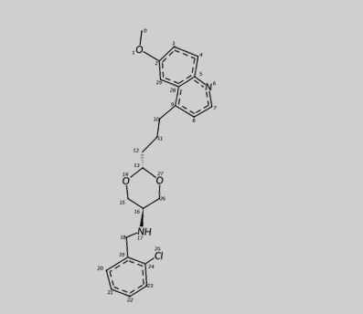 COc1ccc2nccc(CCC[C@H]3OC[C@H](NCc4ccccc4Cl)CO3)c2c1